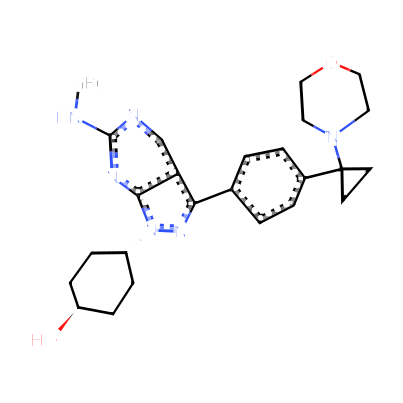 CCCCNc1ncc2c(-c3ccc(C4(N5CCOCC5)CC4)cc3)nn([C@H]3CC[C@H](O)CC3)c2n1